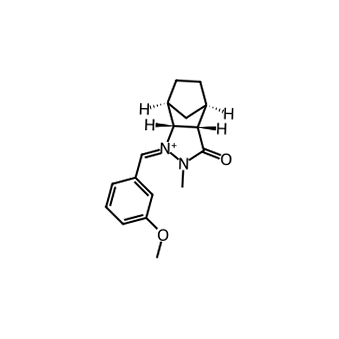 COc1cccc(/C=[N+]2/[C@@H]3[C@H]4CC[C@H](C4)[C@@H]3C(=O)N2C)c1